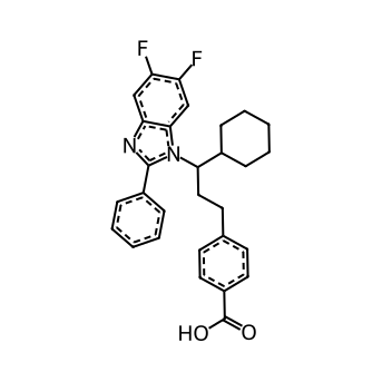 O=C(O)c1ccc(CCC(C2CCCCC2)n2c(-c3ccccc3)nc3cc(F)c(F)cc32)cc1